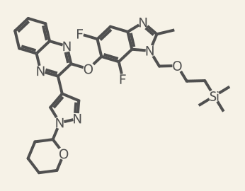 Cc1nc2cc(F)c(Oc3nc4ccccc4nc3-c3cnn(C4CCCCO4)c3)c(F)c2n1COCC[Si](C)(C)C